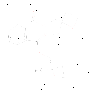 CC1(COC(=O)c2ccccc2C(=O)OCC2(C)CCO2)CCO1